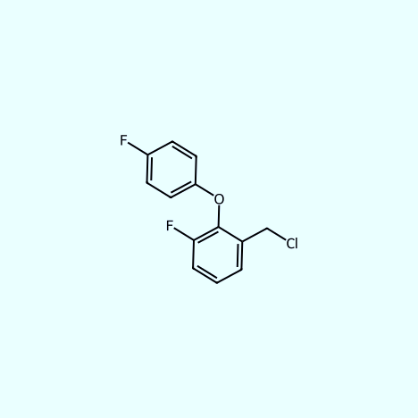 Fc1ccc(Oc2c(F)cccc2CCl)cc1